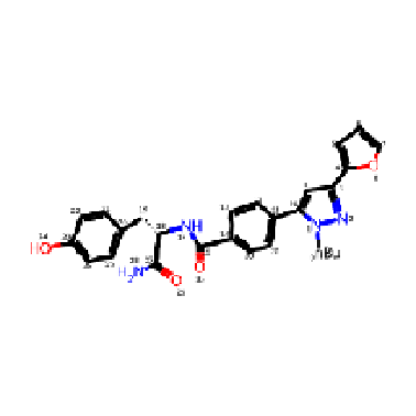 CCCCn1nc(-c2ccco2)cc1-c1ccc(C(=O)N[C@@H](Cc2ccc(O)cc2)C(N)=O)cc1